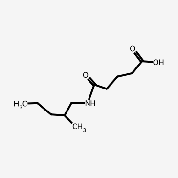 CCCC(C)CNC(=O)CCCC(=O)O